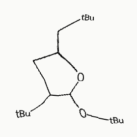 CC(C)(C)CC1CC(C(C)(C)C)C(OC(C)(C)C)O1